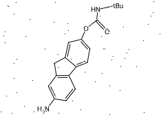 CC(C)(C)NC(=O)Oc1ccc2c(c1)Cc1cc(N)ccc1-2